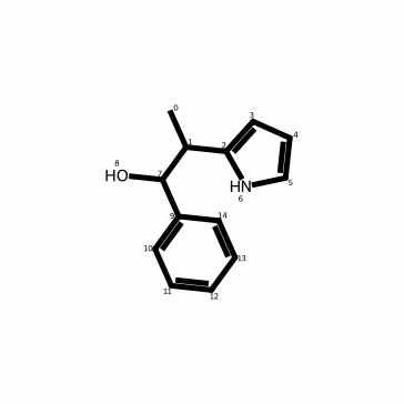 CC(c1ccc[nH]1)C(O)c1ccccc1